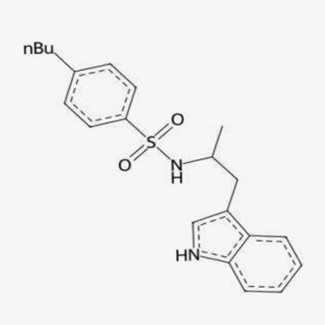 CCCCc1ccc(S(=O)(=O)NC(C)Cc2c[nH]c3ccccc23)cc1